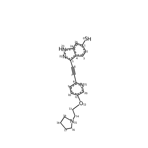 Sc1ccc2c(C#Cc3ccc(OCCN4CCCC4)cn3)n[nH]c2c1